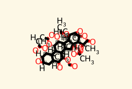 CC(=O)O[C@@H]1[C@H]2[C@@H]3C(OC=O)C(=O)[C@H]4C[C@@H]5O[C@@H]5[C@H](OC(C)=O)[C@]4(C)[C@H]3[C@H](OC(C)=O)[C@H](OC(C)=O)[C@]2(C)[C@H]2[C@H](C)[C@H]3O[C@]34OC(=O)[C@@](C)(O)[C@]4(C)[C@H]12